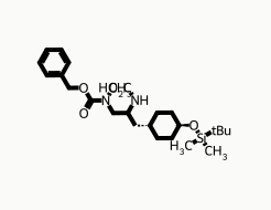 CN(CC(C[C@H]1CC[C@H](O[Si](C)(C)C(C)(C)C)CC1)NC(=O)O)C(=O)OCc1ccccc1